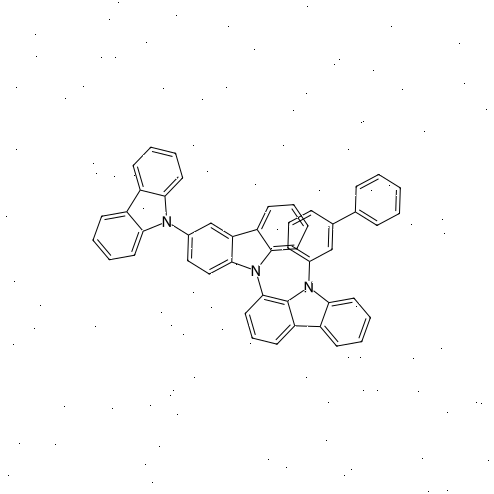 c1ccc(-c2cccc(-n3c4ccccc4c4cccc(-n5c6ccccc6c6cc(-n7c8ccccc8c8ccccc87)ccc65)c43)c2)cc1